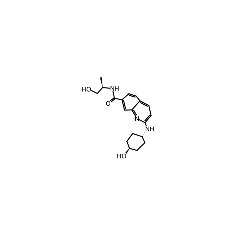 C[C@H](CO)NC(=O)c1ccc2ccc(N[C@H]3CC[C@H](O)CC3)nc2c1